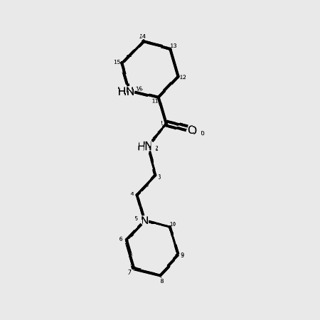 O=C(NCCN1CCCCC1)C1CCCCN1